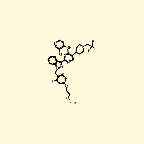 COCCOc1cc(F)c(Cn2nc(-c3ncc(C4CCN(CC(F)(F)F)CC4)c(Nc4ccncc4Cl)n3)c3ccccc32)c(F)c1